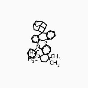 CC1(C)CCC(C)(C)c2c(N(c3ccccc3)c3cccc4c3Sc3ccccc3C43C4CC5CC6CC3C64C5)cccc21